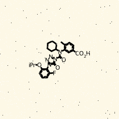 Cc1ccc(C(=O)O)cc1N(C(=O)n1nnn(-c2c(F)cccc2OC(C)C)c1=O)C1CCCCC1